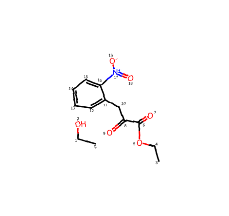 CCO.CCOC(=O)C(=O)Cc1ccccc1[N+](=O)[O-]